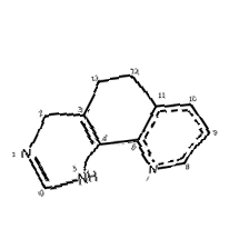 C1=NCC2=C(N1)c1ncccc1CC2